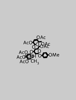 COc1ccc(OC2OC(COC(C)=O)C(OC3OC(COC(C)=O)C(OC(C)=O)=CC3OC(C)=O)C(OC3OC(C)C(OC(C)=O)C(OC(C)=O)C3OC(C)=O)C2NC(C)=O)cc1